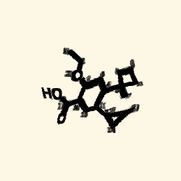 CCOc1cc(C2(C)CCC2)c(C2CC2)cc1C(=O)O